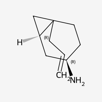 C=CCC12CC[C@@H](N)C[C@H]1C2